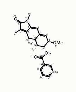 CO[C@@H]1C=C2C=C3C(=C(C)C(=O)N3C)C[C@]2(C)[C@@H](C)[C@H]1OC(=O)c1cccnc1